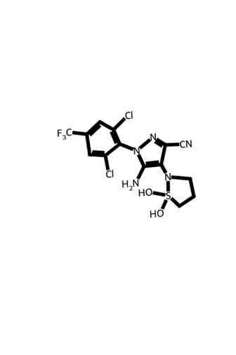 N#Cc1nn(-c2c(Cl)cc(C(F)(F)F)cc2Cl)c(N)c1N1CCCS1(O)O